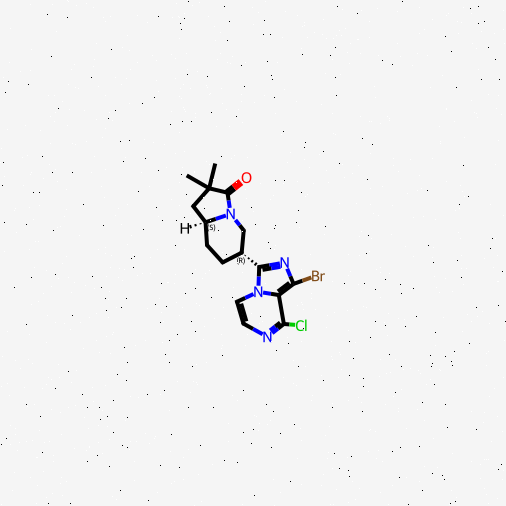 CC1(C)C[C@@H]2CC[C@@H](c3nc(Br)c4c(Cl)nccn34)CN2C1=O